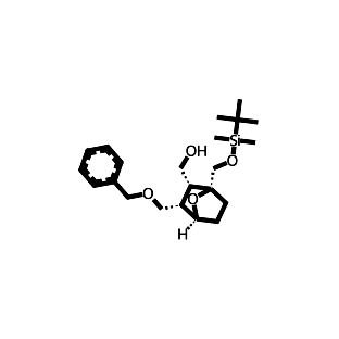 CC(C)(C)[Si](C)(C)OC[C@]12CC[C@H](O1)[C@H](COCc1ccccc1)[C@@H]2CO